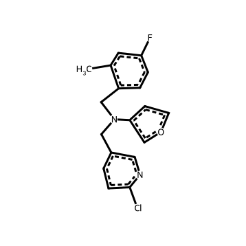 Cc1cc(F)ccc1CN(Cc1ccc(Cl)nc1)c1ccoc1